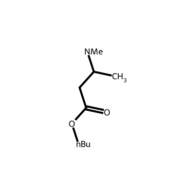 CCCCOC(=O)CC(C)NC